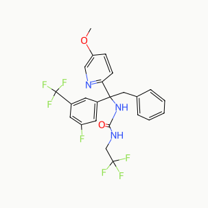 COc1ccc(C(Cc2ccccc2)(NC(=O)NCC(F)(F)F)c2cc(F)cc(C(F)(F)F)c2)nc1